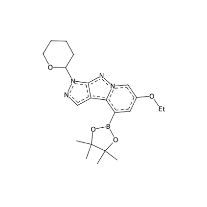 CCOc1cc(B2OC(C)(C)C(C)(C)O2)c2c3cnn(C4CCCCO4)c3nn2c1